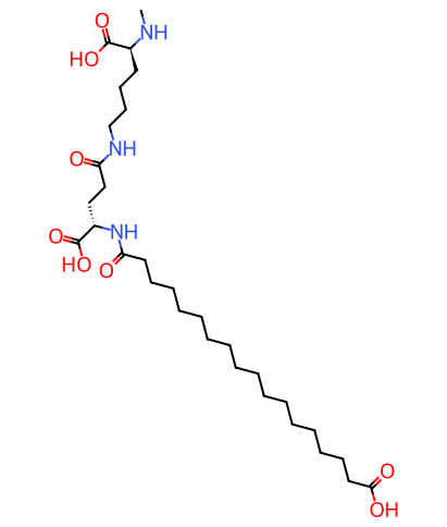 CN[C@@H](CCCCNC(=O)CC[C@H](NC(=O)CCCCCCCCCCCCCCCCC(=O)O)C(=O)O)C(=O)O